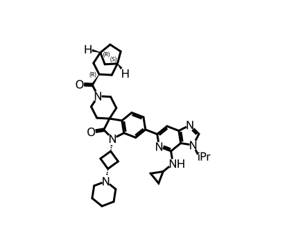 CC(C)n1cnc2cc(-c3ccc4c(c3)N([C@H]3C[C@@H](N5CCCCC5)C3)C(=O)C43CCN(C(=O)[C@H]4C[C@@H]5CC[C@@H](C5)C4)CC3)nc(NC3CC3)c21